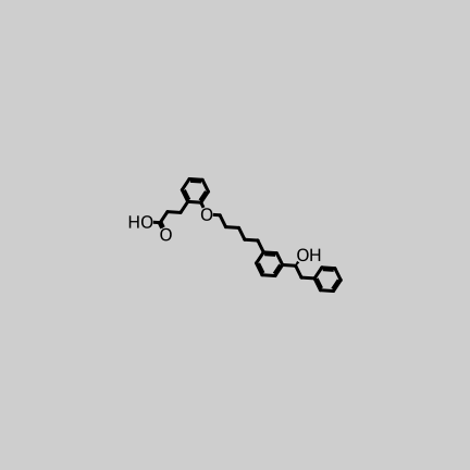 O=C(O)CCc1ccccc1OCCCCCc1cccc([C@@H](O)Cc2ccccc2)c1